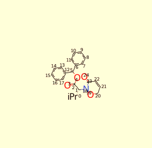 CC(C)[C@H](C(=O)OC(c1ccccc1)c1ccccc1)N1OCC=CC1=O